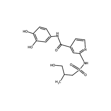 CC(CO)CS(=O)(=O)Nc1cc(C(=O)Nc2ccc(O)c(O)c2)ccn1